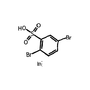 O=S(=O)(O)c1cc(Br)ccc1Br.[In]